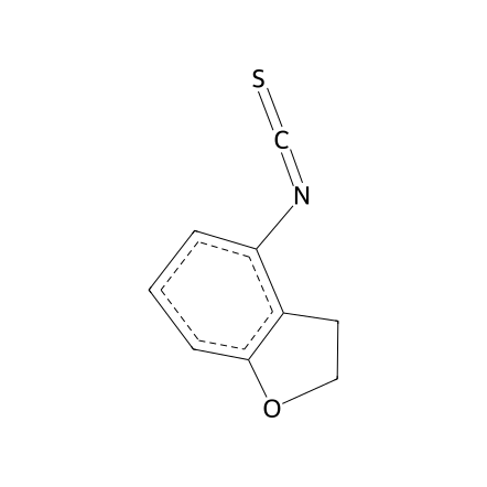 S=C=Nc1cccc2c1CCO2